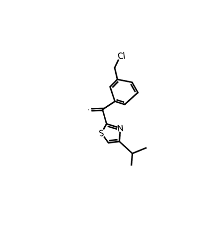 [CH]=C(c1cccc(CCl)c1)c1nc(C(C)C)cs1